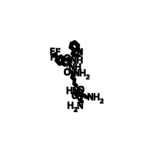 NCCN(CCN)S(=O)(=O)NCCCC[C@H](N)C(=O)N[C@H](Cc1ccc(C(F)(F)F)cc1)C(=O)Nc1cnc2ccccc2c1